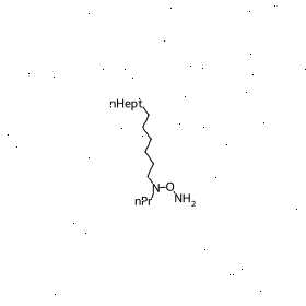 CCCCCCCCCCCCCN(CCC)ON